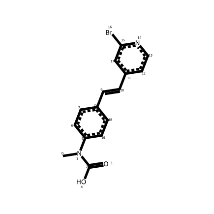 CN(C(=O)O)c1ccc(/C=C/c2ccnc(Br)c2)cc1